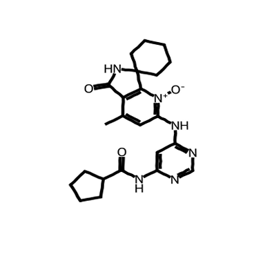 Cc1cc(Nc2cc(NC(=O)C3CCCC3)ncn2)[n+]([O-])c2c1C(=O)NC21CCCCC1